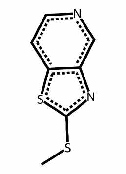 CSc1nc2cnccc2s1